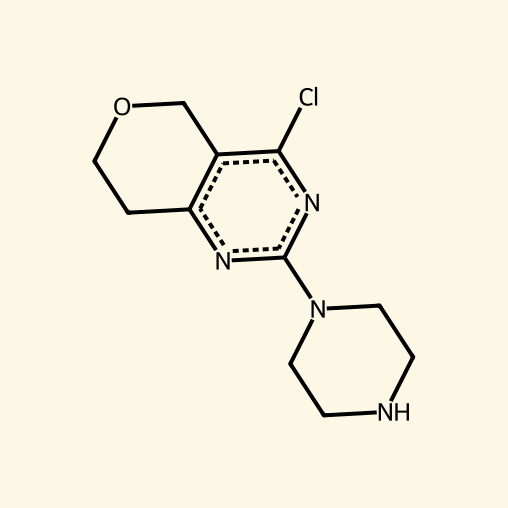 Clc1nc(N2CCNCC2)nc2c1COCC2